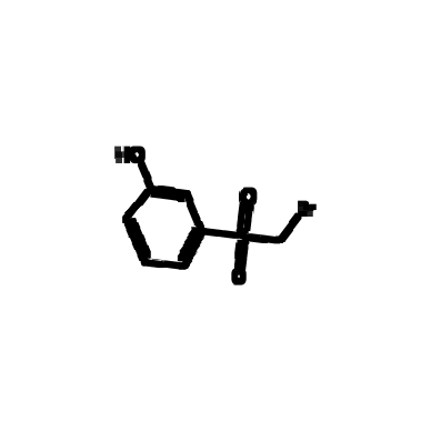 O=S(=O)(CBr)c1cccc(O)c1